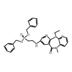 CCN1c2ncc(NCCP(=O)(OCc3ccccc3)OCc3ccccc3)cc2C(=O)N(C)c2cccnc21